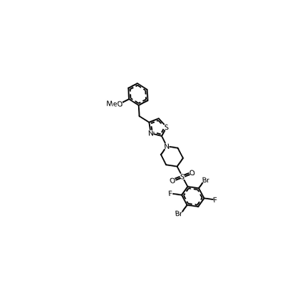 COc1ccccc1Cc1csc(N2CCC(S(=O)(=O)c3c(F)c(Br)cc(F)c3Br)CC2)n1